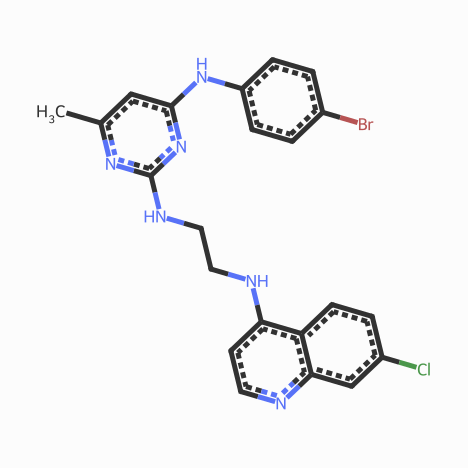 Cc1cc(Nc2ccc(Br)cc2)nc(NCCNc2ccnc3cc(Cl)ccc23)n1